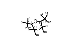 CC(C)(C)C(OC(C(C)(C)C)C(C)(C)C)C(C)(C)C